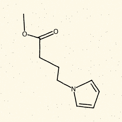 COC(=O)CCCn1cccc1